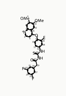 COc1cc2nccc(Oc3ccc(NC(=S)NC(=O)Cc4cc(F)cc(F)c4)cc3F)c2cc1OC